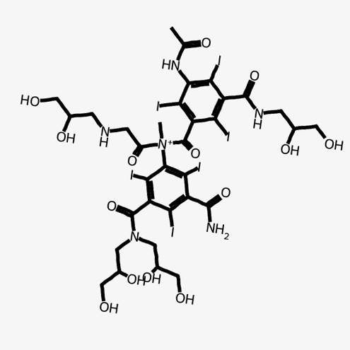 CC(=O)Nc1c(I)c(C(=O)NCC(O)CO)c(I)c(C(=O)[N+](C)(C(=O)CNCC(O)CO)c2c(I)c(C(N)=O)c(I)c(C(=O)N(CC(O)CO)CC(O)CO)c2I)c1I